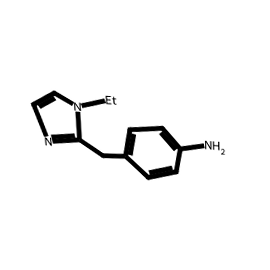 CCn1ccnc1Cc1ccc(N)cc1